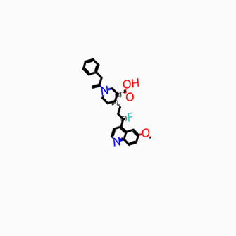 C=C(Cc1ccccc1)N1CC[C@@H](CC[C@H](F)c2ccnc3ccc(OC)cc23)[C@@H](C(=O)O)C1